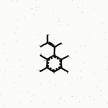 CC(C)=C(C)c1c(C)c(C)cc(C)c1C